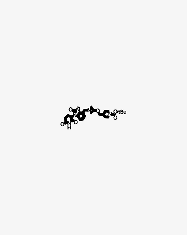 Cn1c(=O)n(C2CCC(=O)NC2=O)c2cccc(CN3CC(OCC4CCN(C(=O)OC(C)(C)C)CC4)C3)c21